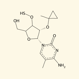 Cc1cn([C@@H]2OC(CO)C(OS)[C@@H]2OC2(C)CC2)c(=O)nc1N